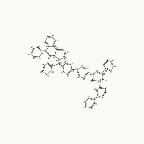 c1ccc(-c2cccc(-c3nc(-c4ccccc4)cc(-c4ccc(-c5ccc6c(c5)c5ccc7c8ccccc8c(-c8ccccc8)nc7c5n6-c5ccccc5)cc4)n3)c2)cc1